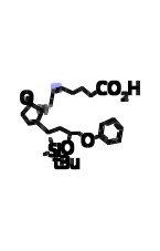 CC(C)(C)[Si](C)(C)OC(CCC1=CCC(=O)[C@@H]1C/C=C\CCCC(=O)O)COc1ccccc1